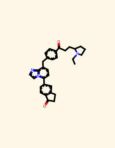 CCN1CCCC1CCC(=O)c1ccc(Cc2ccc(-c3ccc4c(c3)CCC4=O)n3ccnc23)cc1